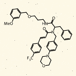 COc1cccc(COCCCNC(=O)C(Cc2ccccc2)N(Cc2ccc(N3CCOCC3)cc2)C(=O)C=Cc2ccc(C(F)(F)F)cc2)c1